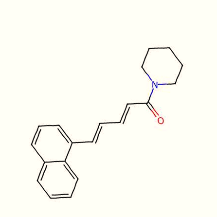 O=C(/C=C/C=C/c1cccc2ccccc12)N1CCCCC1